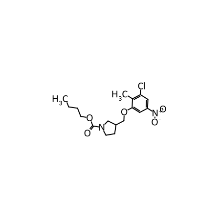 CCCCOC(=O)N1CCC(COc2cc([N+](=O)[O-])cc(Cl)c2C)C1